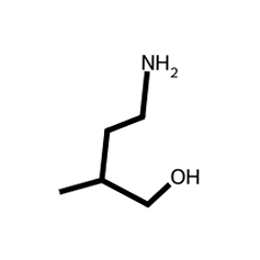 C[C](CO)CCN